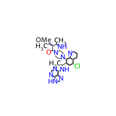 CO/C(C)=C(\C(C)=N)C(=O)N1CCN(c2c(C(C)Nc3ncnc4[nH]cnc34)cc(Cl)c3cccnc23)CC1